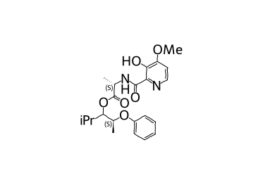 COc1ccnc(C(=O)N[C@@H](C)C(=O)OC(C(C)C)[C@H](C)Oc2ccccc2)c1O